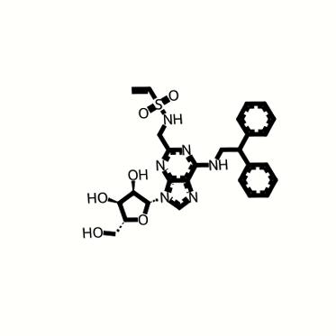 C=CS(=O)(=O)NCc1nc(NCC(c2ccccc2)c2ccccc2)c2ncn([C@@H]3O[C@H](CO)[C@@H](O)[C@H]3O)c2n1